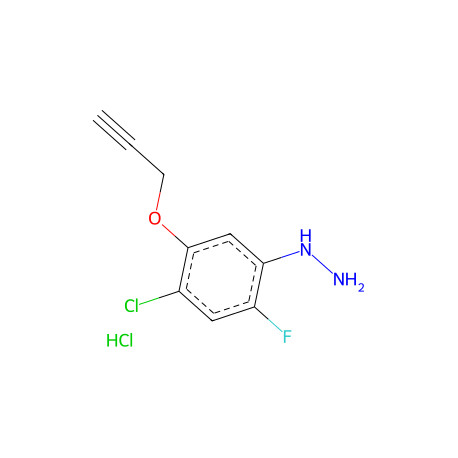 C#CCOc1cc(NN)c(F)cc1Cl.Cl